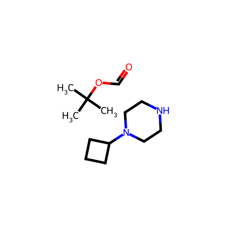 C1CC(N2CCNCC2)C1.CC(C)(C)OC=O